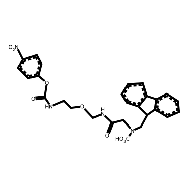 O=C(CN(CC1c2ccccc2-c2ccccc21)C(=O)O)NCOCCNC(=O)Oc1ccc([N+](=O)[O-])cc1